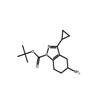 CC(C)(C)OC(=O)n1nc(C2CC2)c2c1CCC(N)C2